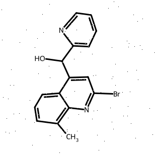 Cc1cccc2c(C(O)c3ccccn3)cc(Br)nc12